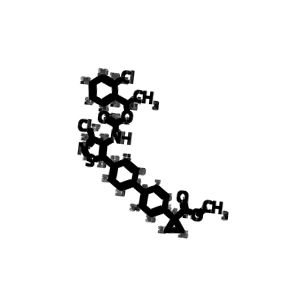 COC(=O)C1(c2ccc(-c3ccc(-c4snc(Cl)c4NC(=O)O[C@H](C)c4ccccc4Cl)cc3)cc2)CC1